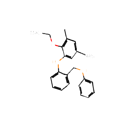 COCOc1c(C)cc(C(C)(C)C)cc1Pc1ccccc1CPc1ccccc1